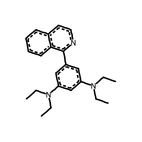 CCN(CC)c1cc(-c2nccc3ccccc23)cc(N(CC)CC)c1